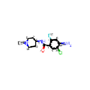 CCN1CCC(NC(=O)c2cc(Cl)c(N)cc2F)CC1